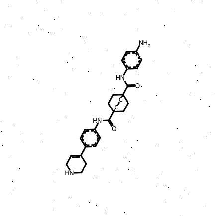 Nc1ccc(NC(=O)C23CCC(C(=O)Nc4ccc(C5=CCNCC5)cc4)(CC2)CC3)cc1